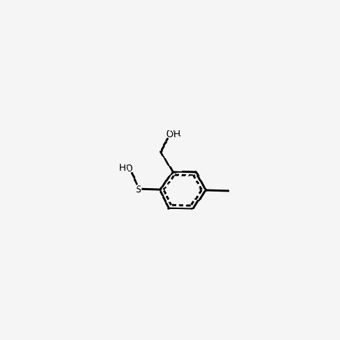 Cc1ccc(SO)c(CO)c1